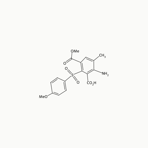 COC(=O)c1cc(C)c(N)c(C(=O)O)c1S(=O)(=O)c1ccc(OC)cc1